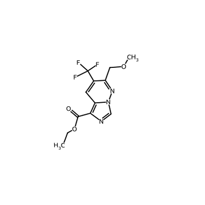 CCOC(=O)c1ncn2nc(COC)c(C(F)(F)F)cc12